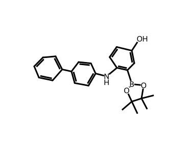 CC1(C)OB(c2cc(O)ccc2Nc2ccc(-c3ccccc3)cc2)OC1(C)C